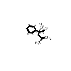 C=C(C)C[C@@](C)(C=O)c1ccccc1